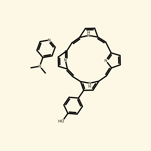 CN(C)c1ccncc1.Oc1ccc(-c2cc3cc4nc(cc5ccc(cc6nc(cc2[nH]3)C=C6)[nH]5)C=C4)cc1